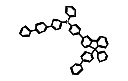 C1=CCCC(C2(c3ccc(-c4ccccc4)cc3)c3ccccc3-c3cc(-c4ccc(N(c5ccccc5)c5ccc(-c6ccc(-c7ccccc7)cc6)cc5)cc4)ccc32)=C1